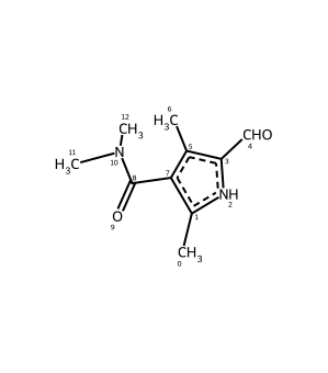 Cc1[nH]c(C=O)c(C)c1C(=O)N(C)C